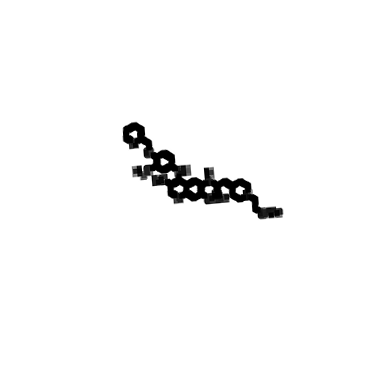 COCCN1CCC(=CC(=O)Nc2cc3c(Nc4ccc(OCc5ccccn5)c(C)c4)c(C#N)cnc3cc2OC)CC1